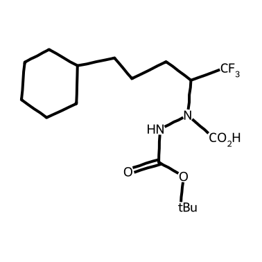 CC(C)(C)OC(=O)NN(C(=O)O)C(CCCC1CCCCC1)C(F)(F)F